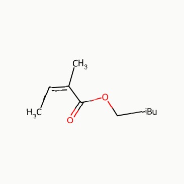 C/C=C(/C)C(=O)OCC(C)CC